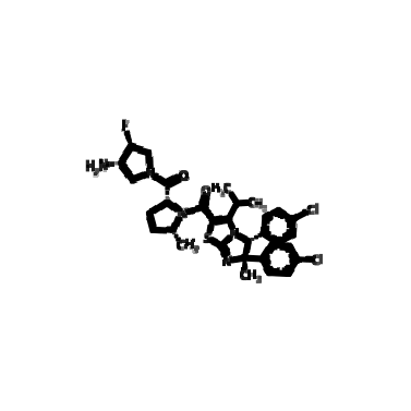 CC(C)C1=C(C(=O)N2[C@H](C)CC[C@@H]2C(=O)N2C[C@H](N)[C@@H](F)C2)SC2=N[C@@](C)(c3ccc(Cl)cc3)[C@@H](c3ccc(Cl)cc3)N21